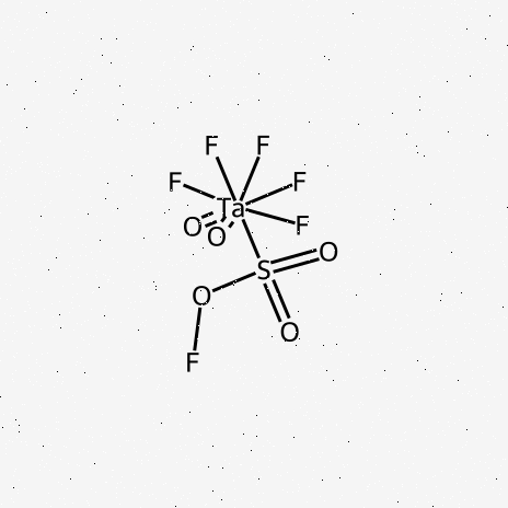 O=[S](=O)(OF)[Ta](=[O])(=[O])([F])([F])([F])([F])[F]